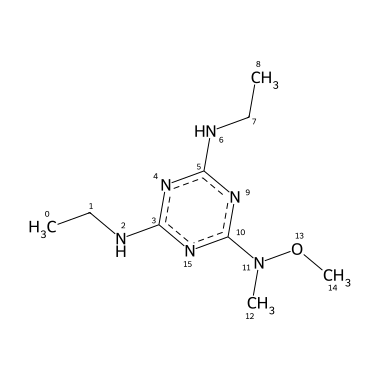 CCNc1nc(NCC)nc(N(C)OC)n1